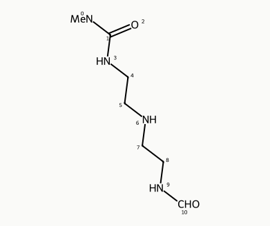 CNC(=O)NCCNCCNC=O